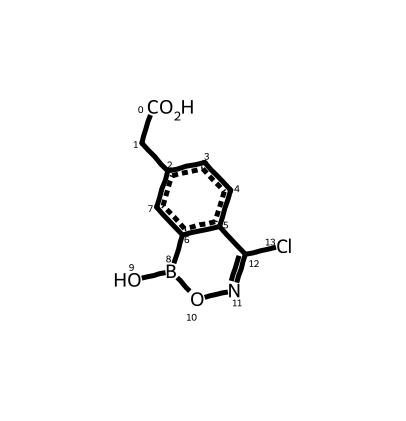 O=C(O)Cc1ccc2c(c1)B(O)ON=C2Cl